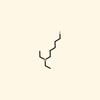 CCN(CC)CCCCCI